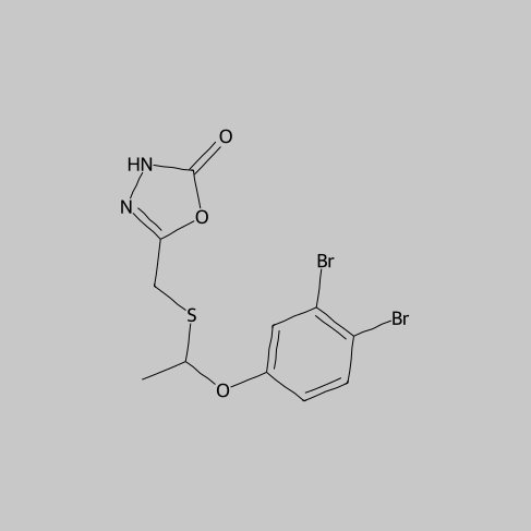 CC(Oc1ccc(Br)c(Br)c1)SCc1n[nH]c(=O)o1